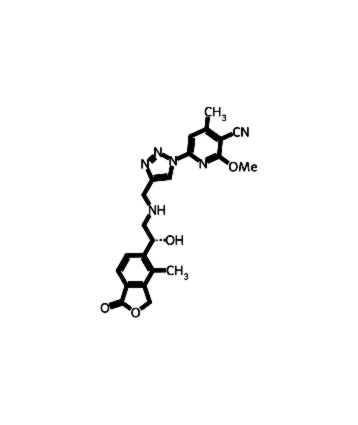 COc1nc(-n2cc(CNC[C@H](O)c3ccc4c(c3C)COC4=O)nn2)cc(C)c1C#N